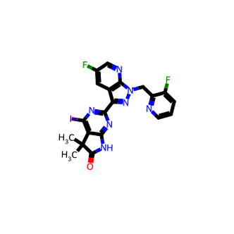 CC1(C)C(=O)Nc2nc(-c3nn(Cc4ncccc4F)c4ncc(F)cc34)nc(I)c21